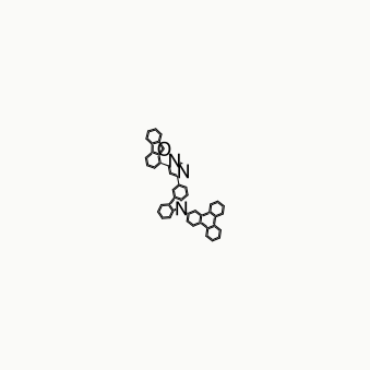 c1ccc2c(c1)oc1c(-c3cc(-c4ccc5c(c4)c4ccccc4n5-c4ccc5c6ccccc6c6ccccc6c5c4)ncn3)cccc12